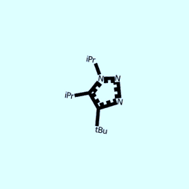 CC(C)c1c(C(C)(C)C)nnn1C(C)C